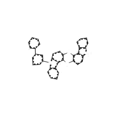 c1ccc(-c2cccc(-n3c4ccccc4c4c5c(ccc43)Oc3c(ccc4[nH]c6ccccc6c34)O5)c2)cc1